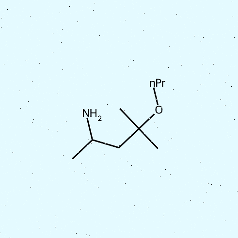 CCCOC(C)(C)CC(C)N